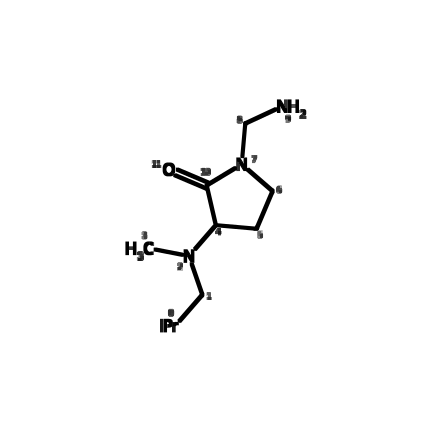 CC(C)CN(C)C1CCN(CN)C1=O